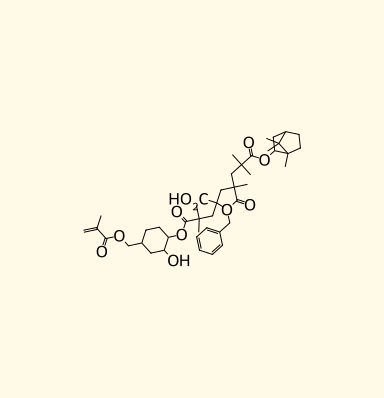 C=C(C)C(=O)OCC1CCC(OC(=O)C(C)(C)CC(C)(CC(C)(CC(C)(C)C(=O)OC2CC3CCC2(C)C3(C)C)C(=O)OCc2ccccc2)C(=O)O)C(O)C1